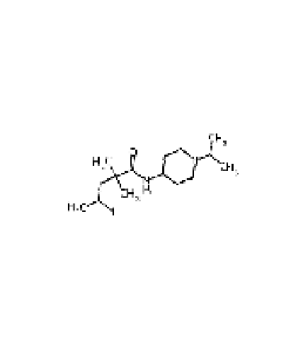 CC(I)CC(C)(C)C(=O)NC1CCN(C(C)C)CC1